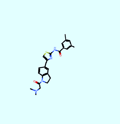 Cc1cc(C)cc(C(=O)Nc2nc(-c3ccc4c(c3)CCN4C(=O)CN(C)C)cs2)c1